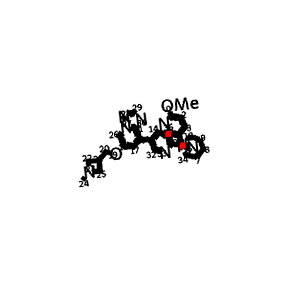 COc1ccc(CN2C3CC2CN(c2ccc(-c4cc(OCC5CN(C)C5)cn5ncnc45)cn2)C3)cn1